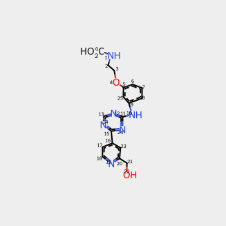 O=C(O)NCCOc1cccc(Nc2ncnc(-c3ccnc(CO)c3)n2)c1